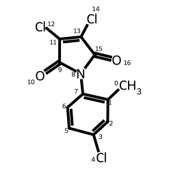 Cc1cc(Cl)ccc1N1C(=O)C(Cl)=C(Cl)C1=O